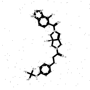 O=C(c1ccc2[nH]nnc2c1F)N1C=C2CN(C(=O)CCc3ccc(OC(F)(F)F)cc3)C[C@@H]2C1